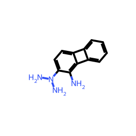 Nc1c(N(N)N)ccc2c1-c1ccccc1-2